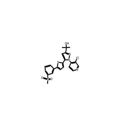 CC(C)(O)c1cc(-c2ccc(-c3cccc(S(C)(=O)=O)c3)s2)n(-c2ccncc2Cl)n1